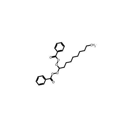 [CH2]CCCCCCCC[C](OOC(=O)c1ccccc1)OOC(=O)c1ccccc1